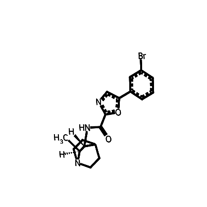 C[C@H]1[C@H](NC(=O)c2ncc(-c3cccc(Br)c3)o2)C2CCN1CC2